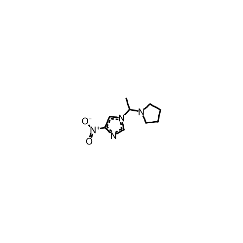 CC(N1CCCC1)n1cnc([N+](=O)[O-])c1